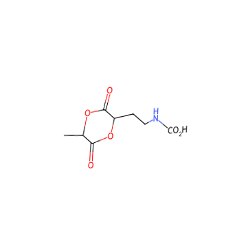 CC1OC(=O)C(CCNC(=O)O)OC1=O